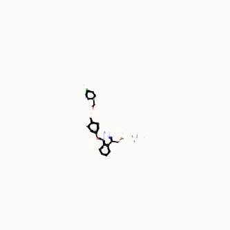 COC(=O)Cc1cnc(C(=O)c2ccc(COCCc3ccc(Cl)cc3)cc2)c2ccccc12